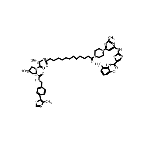 Cc1nc(Nc2ncc(C(=O)Nc3c(C)cccc3Cl)s2)cc(N2CCN(C(=O)CCCCCCCCCCCC(=O)N[C@H](C(=O)N3C[C@H](O)C[C@H]3C(=O)NCc3ccc(-c4scnc4C)cc3)C(C)(C)C)CC2)n1